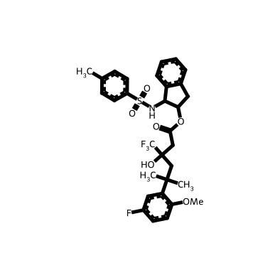 COc1ccc(F)cc1C(C)(C)CC(O)(CC(=O)OC1Cc2ccccc2C1NS(=O)(=O)c1ccc(C)cc1)C(F)(F)F